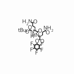 CC(C)(C)OC(=O)N[C@@H](CCC(N)=O)C(=O)N[C@@H](CCC(N)=O)C(=O)Oc1c(F)c(F)c(F)c(F)c1F